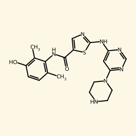 Cc1ccc(O)c(C)c1NC(=O)c1cnc(Nc2cc(N3CCNCC3)ncn2)s1